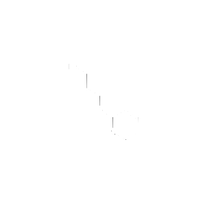 OCCCO[C]1C=CC=CN1